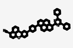 N#Cc1ccc2c3c(cccc13)-c1cc(-c3ccc(-c4ccc5ccc6c(-c7nc(-c8ccccc8)cc(-c8ccccc8)n7)ccc7ccc4c5c76)cc3)ccc1O2